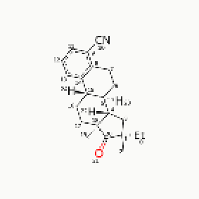 CC[C@@]1(C)C[C@H]2[C@@H]3CCc4c(C#N)cccc4[C@H]3CC[C@]2(C)C1=O